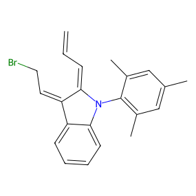 C=C/C=c1\c(=C/CBr)c2ccccc2n1-c1c(C)cc(C)cc1C